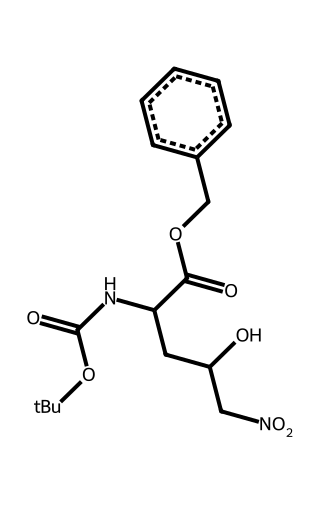 CC(C)(C)OC(=O)NC(CC(O)C[N+](=O)[O-])C(=O)OCc1ccccc1